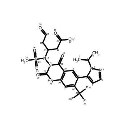 CC(C)n1nccc1-c1cc2c(=O)n(N(C(CC=O)CC(=O)O)S(C)(=O)=O)c(=O)[nH]c2cc1C(F)(F)F